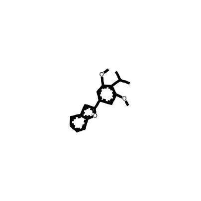 COc1cc(-c2cc3ccccc3o2)cc(OC)c1C(C)C